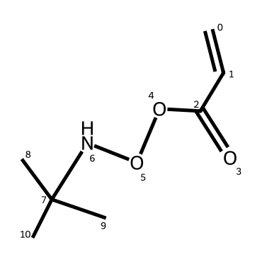 C=CC(=O)OONC(C)(C)C